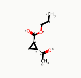 CCCOC(=O)[C@@H]1C[C@H]1C(C)=O